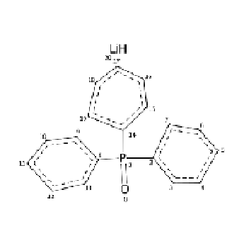 O=P(c1ccccc1)(c1ccccc1)c1ccccc1.[LiH]